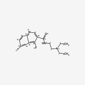 CCN(CC)CCNC(=O)c1cnc2ccc(I)cc2c1F